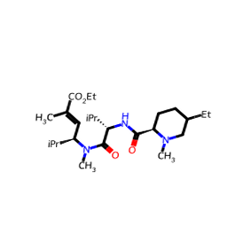 CCOC(=O)/C(C)=C/[C@H](C(C)C)N(C)C(=O)[C@@H](NC(=O)[C@H]1CCC(CC)CN1C)C(C)C